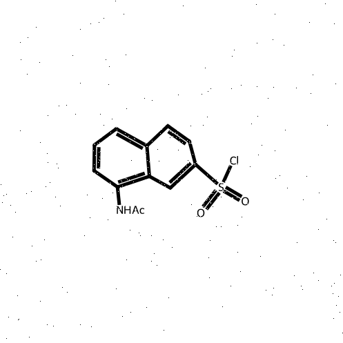 CC(=O)Nc1cccc2ccc(S(=O)(=O)Cl)cc12